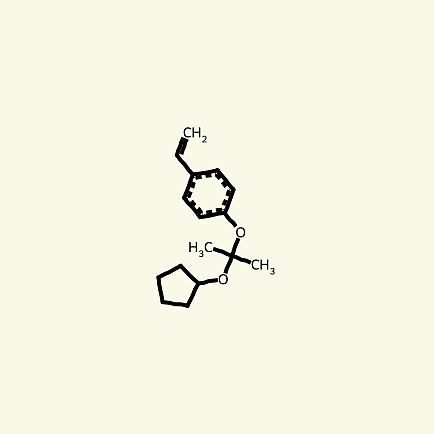 C=Cc1ccc(OC(C)(C)OC2CCCC2)cc1